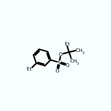 CCc1cccc(S(=O)(=O)OC(C)(C)CC)c1